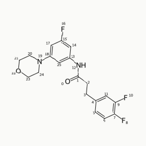 O=C(CCc1ccc(F)c(F)c1)Nc1cc(F)cc(N2CCOCC2)c1